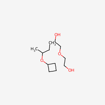 CCC(C)OC1CCC1.OCCOCCO